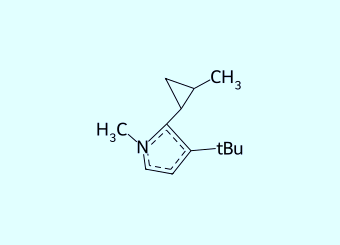 CC1CC1c1c(C(C)(C)C)ccn1C